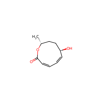 C[C@@H]1CC[C@@H](O)C=CC=CC(=O)O1